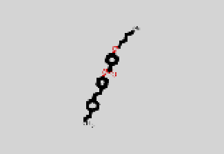 C=CCC1CCC(CCc2ccc(OC(=O)c3ccc(OCCCCCC(C)CC)cc3)cc2)CC1